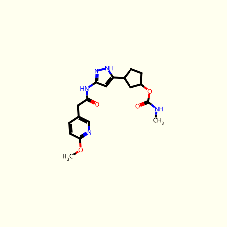 CNC(=O)OC1CCC(c2cc(NC(=O)Cc3ccc(OC)nc3)n[nH]2)C1